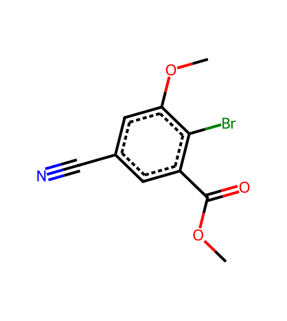 COC(=O)c1cc(C#N)cc(OC)c1Br